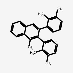 Cc1cccc(-c2cc3ccccc3c(P)c2-c2cccc(C)c2C)c1C